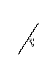 CCCCCCCCCCCCCC(CCCCCCCCCCCCC)NCCCN(C)C